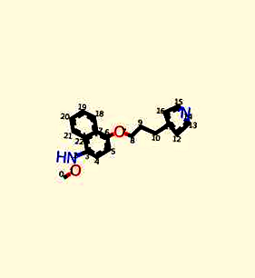 CONc1ccc(OCCCc2ccncc2)c2ccccc12